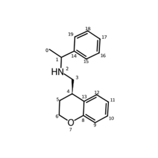 CC(NC[C@@H]1CCOc2ccccc21)c1ccccc1